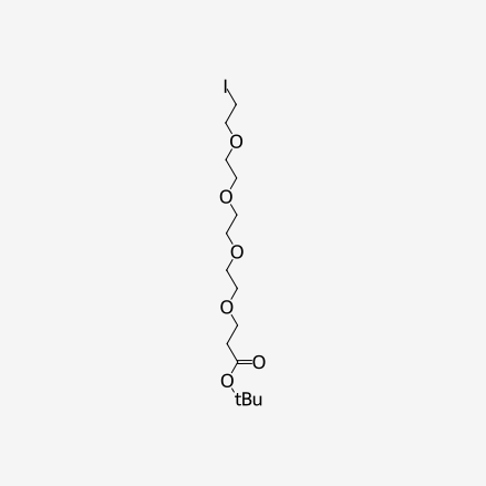 CC(C)(C)OC(=O)CCOCCOCCOCCOCCI